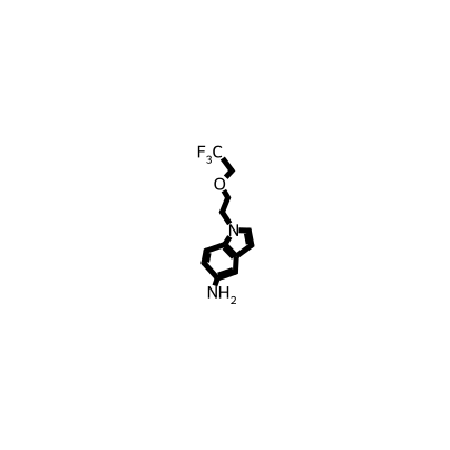 Nc1ccc2c(ccn2CCOCC(F)(F)F)c1